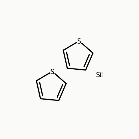 [Si].c1ccsc1.c1ccsc1